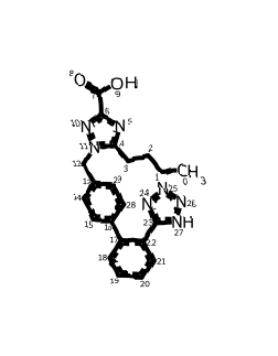 CCCCc1nc(C(=O)O)nn1Cc1ccc(-c2ccccc2-c2nnn[nH]2)cc1